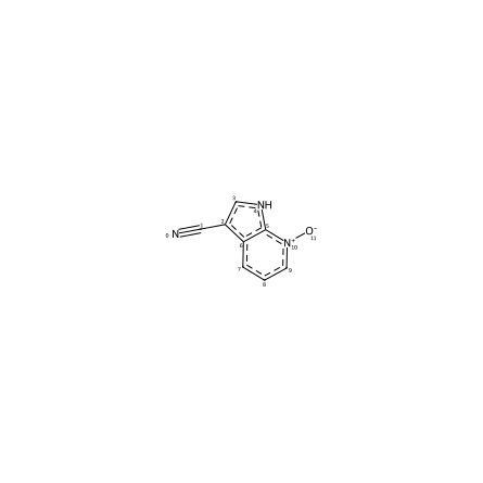 N#Cc1c[nH]c2c1ccc[n+]2[O-]